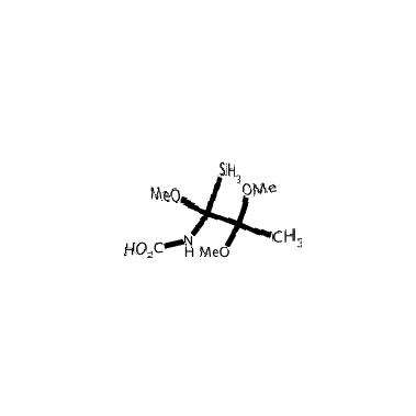 COC([SiH3])(NC(=O)O)C(C)(OC)OC